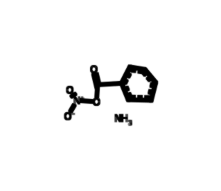 N.O=C(O[N+](=O)[O-])c1ccccc1